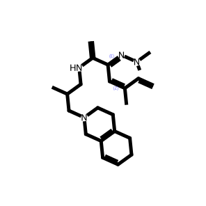 C=C/C(C)=C\C(=N/N(C)C)C(=C)NCC(C)CN1CCC2=C(C=CCC2)C1